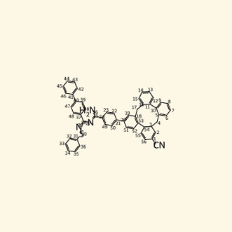 N#CC1=CC2Cc3ccccc3-c3ccccc3Cc3cc(-c4ccc(/C(N)=N/C(=N\Sc5ccccc5)c5ccc(-c6ccccc6)cc5)cc4)ccc3C2C=C1